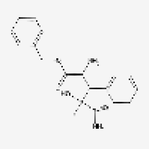 CC(O)(C(N)=O)C(c1ccccc1)C(N)C(=O)OCc1ccccc1